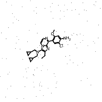 CCc1nc2c(-c3cc(Cl)c(N)cc3OC)nccn2c1N(CC1CC1)CC1CC1